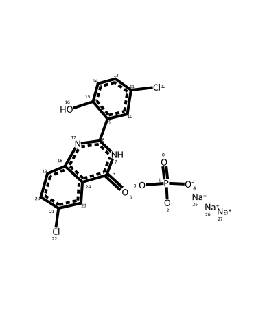 O=P([O-])([O-])[O-].O=c1[nH]c(-c2cc(Cl)ccc2O)nc2ccc(Cl)cc12.[Na+].[Na+].[Na+]